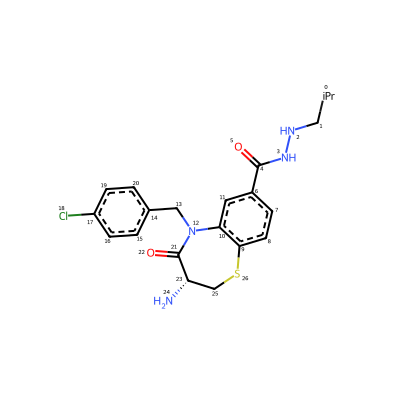 CC(C)CNNC(=O)c1ccc2c(c1)N(Cc1ccc(Cl)cc1)C(=O)[C@@H](N)CS2